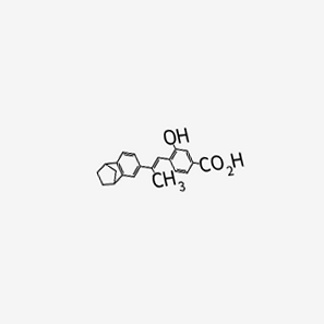 CC(=Cc1ccc(C(=O)O)cc1O)c1ccc2c(c1)C1CCC2C1